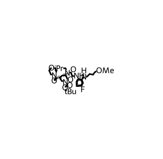 COCCCCNc1cc(F)ccc1NC(=O)C(=O)N(CC(C)C)[C@H]1C[C@@H](C(=O)N2CCOCC2)CN(C(=O)OC(C)(C)C)C1